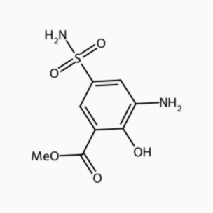 COC(=O)c1cc(S(N)(=O)=O)cc(N)c1O